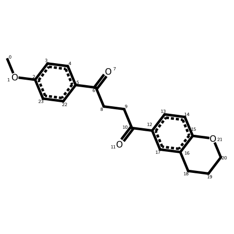 COc1ccc(C(=O)CCC(=O)c2ccc3c(c2)CCCO3)cc1